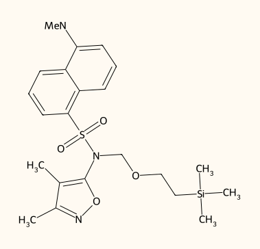 CNc1cccc2c(S(=O)(=O)N(COCC[Si](C)(C)C)c3onc(C)c3C)cccc12